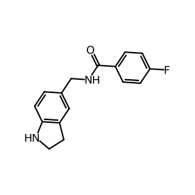 O=C(NCc1ccc2c(c1)CCN2)c1ccc(F)cc1